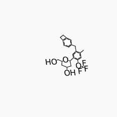 Cc1cc(OC(F)(F)F)c(C2CC(O)CC(CO)O2)cc1Cc1ccc2c(c1)CC2